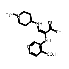 CC(=N)/C(=C\NC1CCN(C)CC1)Nc1cnccc1C(=O)O